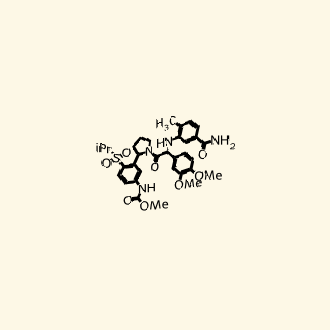 COC(=O)Nc1ccc(S(=O)(=O)C(C)C)c(C2CCCN2C(=O)[C@H](Nc2cc(C(N)=O)ccc2C)c2ccc(OC)c(OC)c2)c1